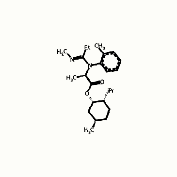 CC/C(=N\C)N(c1ccccc1C)[C@H](C)C(=O)O[C@H]1C[C@H](C)CC[C@H]1C(C)C